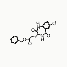 O=C(CCC1NC(=O)c2cc(Cl)ccc2NC1=O)OCc1ccccc1